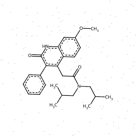 COc1ccc2c(CC(=O)N(CC(C)C)CC(C)C)c(-c3ccccc3)c(=O)[nH]c2c1